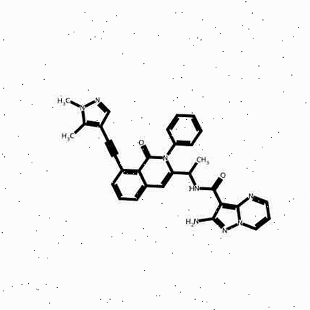 Cc1c(C#Cc2cccc3cc(C(C)NC(=O)c4c(N)nn5cccnc45)n(-c4ccccc4)c(=O)c23)cnn1C